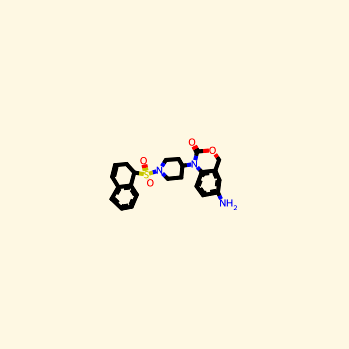 Nc1ccc2c(c1)COC(=O)N2C1CCN(S(=O)(=O)C2CC=Cc3ccccc32)CC1